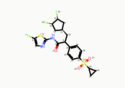 O=C(Nc1ncc(F)s1)C(C[C@H]1C[C@@H](F)[C@@H](F)C1)c1ccc(S(=O)(=O)C2CC2)cc1